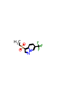 CCS(=O)(=O)c1cnn2cc(C(F)(F)F)ccc12